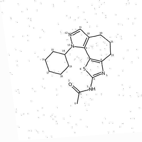 CC(=O)Nc1nc2c(s1)-c1c(cnn1C1CCCCC1)CCC2